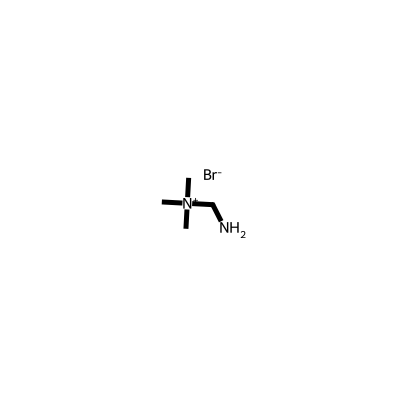 C[N+](C)(C)CN.[Br-]